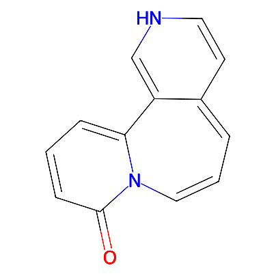 O=c1cccc2n1C=CC=C1C=CNC=C12